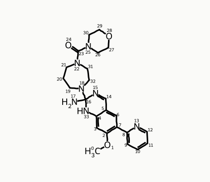 COc1cc2c(cc1-c1ccccn1)C=NC(N)(N1CCCN(C(=O)N3CCOCC3)CC1)N2